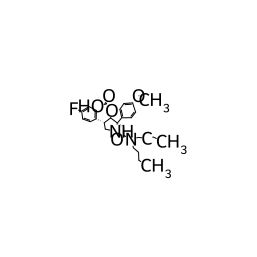 CCCCN(CCCC)C(=O)C[C@]1(c2ccc(OC)cc2)NC[C@H](c2ccc(F)cc2)[C@@H]1OC(=O)O